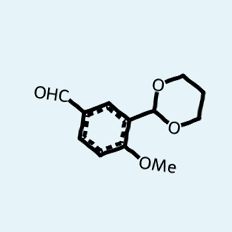 COc1ccc(C=O)cc1C1OCCCO1